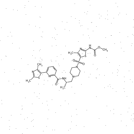 COC(=O)Nc1nc(C)c(S(=O)(=O)N2CCN(CC(C)NC(=O)c3cccc(-c4sc(C)nc4C)n3)CC2)s1